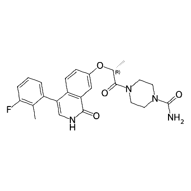 Cc1c(F)cccc1-c1c[nH]c(=O)c2cc(O[C@H](C)C(=O)N3CCN(C(N)=O)CC3)ccc12